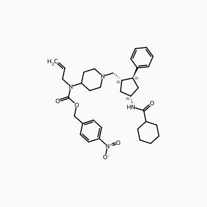 C=CCN(C(=O)OCc1ccc([N+](=O)[O-])cc1)C1CCN(C[C@H]2C[C@@H](NC(=O)C3CCCCC3)C[C@@H]2c2ccccc2)CC1